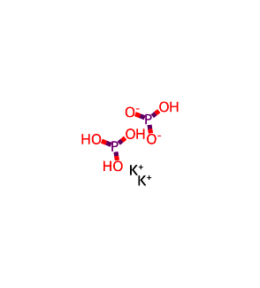 OP(O)O.[K+].[K+].[O-]P([O-])O